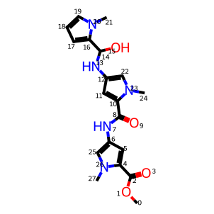 COC(=O)c1cc(NC(=O)c2cc(NC(O)c3cccn3C)cn2C)cn1C